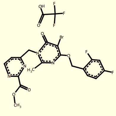 COC(=O)c1nccc(Cn2c(C)nc(OCc3ccc(F)cc3F)c(Br)c2=O)n1.O=C(O)C(F)(F)F